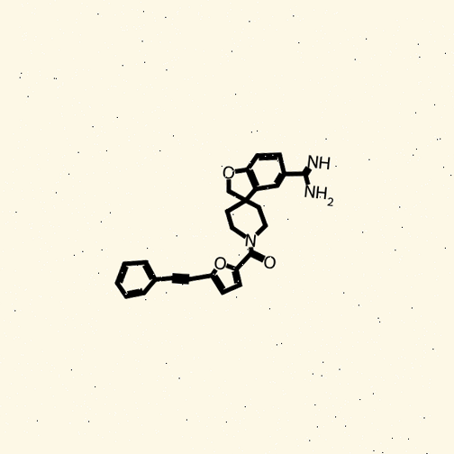 N=C(N)c1ccc2c(c1)C1(CCN(C(=O)c3ccc(C#Cc4ccccc4)o3)CC1)CO2